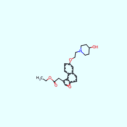 CCOC(=O)Cc1coc2ccc3cc(OCCN4CCC(O)CC4)ccc3c12